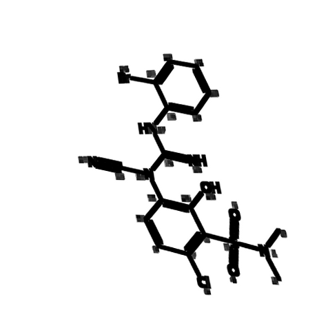 CN(C)S(=O)(=O)c1c(Cl)ccc(N(C#N)C(=N)Nc2ccccc2Br)c1O